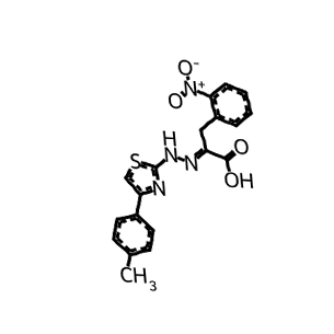 Cc1ccc(-c2csc(N/N=C(\Cc3ccccc3[N+](=O)[O-])C(=O)O)n2)cc1